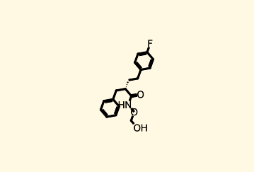 O=C(NOCO)[C@@H](CCc1ccc(F)cc1)Cc1ccccc1